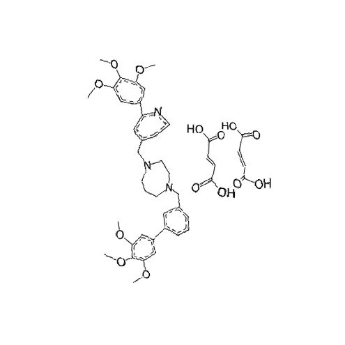 COc1cc(-c2cccc(CN3CCCN(Cc4ccnc(-c5cc(OC)c(OC)c(OC)c5)c4)CC3)c2)cc(OC)c1OC.O=C(O)C=CC(=O)O.O=C(O)C=CC(=O)O